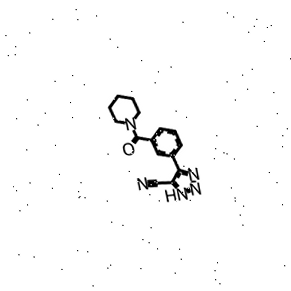 N#Cc1[nH]nnc1-c1cccc(C(=O)N2CCCCC2)c1